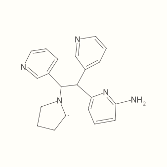 Nc1cccc(C(c2cccnc2)C(c2cccnc2)N2[CH]CCC2)n1